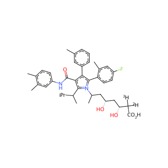 [2H]C([2H])(C(=O)O)[C@H](O)C[C@H](O)CC(C)n1c(-c2ccc(F)cc2C)c(-c2cccc(C)c2)c(C(=O)Nc2ccc(C)c(C)c2)c1C(C)C(C)C